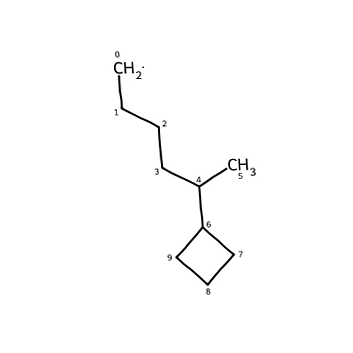 [CH2]CCCC(C)C1CCC1